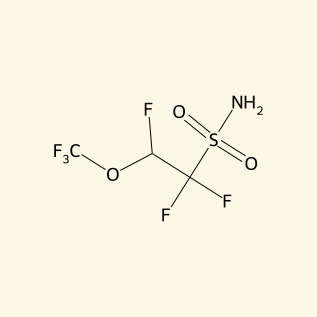 NS(=O)(=O)C(F)(F)C(F)OC(F)(F)F